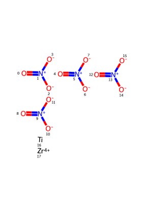 O=[N+]([O-])[O-].O=[N+]([O-])[O-].O=[N+]([O-])[O-].O=[N+]([O-])[O-].[Ti].[Zr+4]